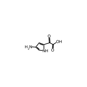 Nc1c[nH]c(C(=O)C(=O)O)c1